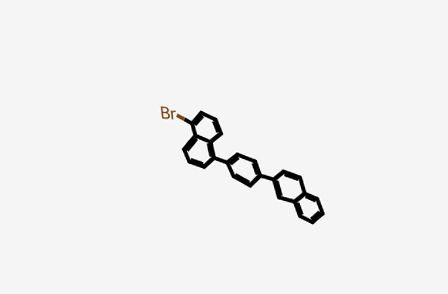 Brc1cccc2c(-c3ccc(-c4ccc5ccccc5c4)cc3)cccc12